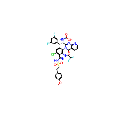 COc1ccc(CCS(=O)(=O)Nc2nn(CC(F)F)c3c(-n4c([C@H](Cc5cc(F)cc(F)c5)NC(=O)O)nc5ncccc5c4=O)ccc(Cl)c23)cc1